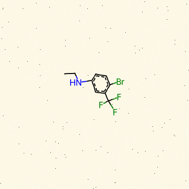 CCNc1ccc(Br)c(C(F)(F)F)c1